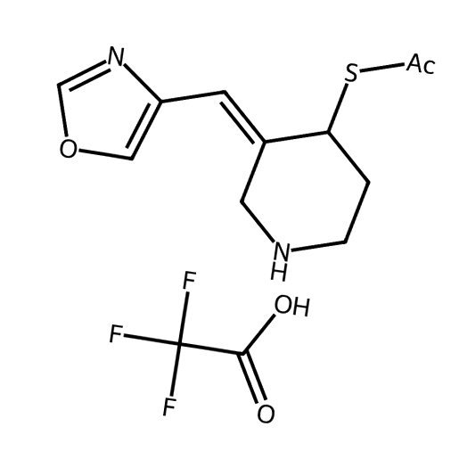 CC(=O)SC1CCNCC1=Cc1cocn1.O=C(O)C(F)(F)F